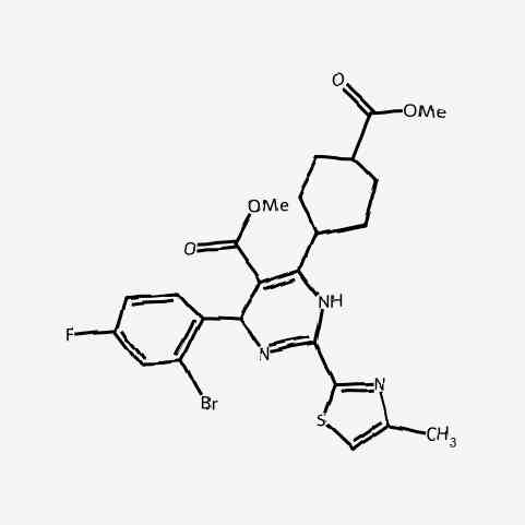 COC(=O)C1=C(C2CCC(C(=O)OC)CC2)NC(c2nc(C)cs2)=NC1c1ccc(F)cc1Br